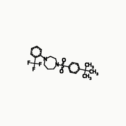 CC(C)(C)c1ccc(S(=O)(=O)N2CCCN(c3ccccc3C(F)(F)F)CC2)cc1